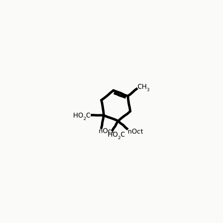 CCCCCCCCC1(C(=O)O)CC=C(C)CC1(CCCCCCCC)C(=O)O